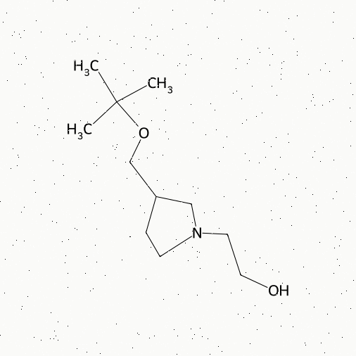 CC(C)(C)OCC1CCN(CCO)C1